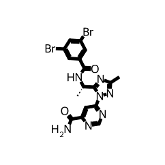 Cc1nc([C@H](C)NC(=O)c2cc(Br)cc(Br)c2)n(-c2cc(C(N)=O)ncn2)n1